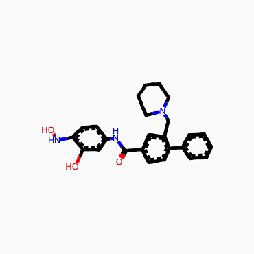 O=C(Nc1ccc(NO)c(O)c1)c1ccc(-c2ccccc2)c(CN2CCCCC2)c1